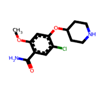 COc1cc(OC2CCNCC2)c(Cl)cc1C(N)=O